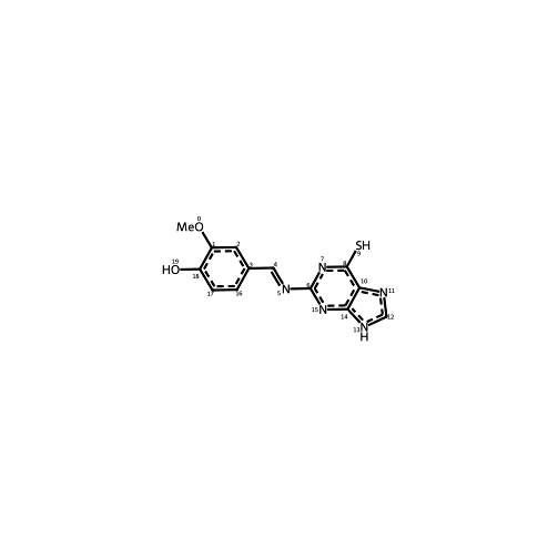 COc1cc(C=Nc2nc(S)c3nc[nH]c3n2)ccc1O